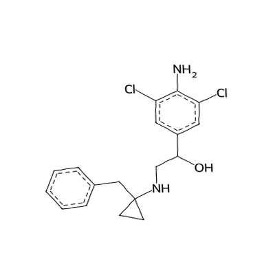 Nc1c(Cl)cc(C(O)CNC2(Cc3ccccc3)CC2)cc1Cl